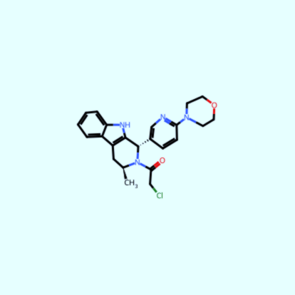 C[C@H]1Cc2c([nH]c3ccccc23)[C@H](c2ccc(N3CCOCC3)nc2)N1C(=O)CCl